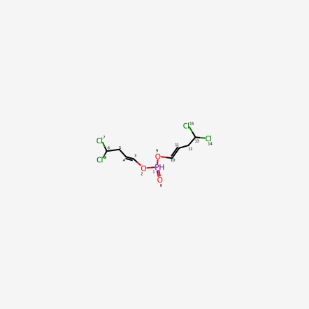 O=[PH](OC=CCC(Cl)Cl)OC=CCC(Cl)Cl